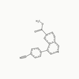 COC(=O)c1ccc2cncc(-c3ccc(C#N)cc3)c2c1